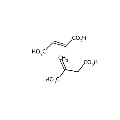 C=C(CC(=O)O)C(=O)O.O=C(O)C=CC(=O)O